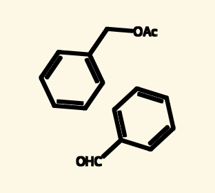 CC(=O)OCc1ccccc1.O=Cc1ccccc1